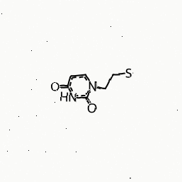 O=c1ccn(CC[S])c(=O)[nH]1